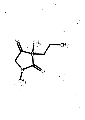 [CH2]CC[N+]1(C)C(=O)CN(C)C1=O